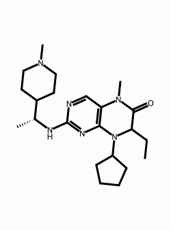 CCC1C(=O)N(C)c2cnc(N[C@H](C)C3CCN(C)CC3)nc2N1C1CCCC1